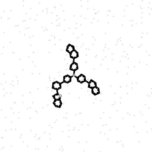 c1cc(-c2ccc(N(c3ccc(-c4ccc5ccccc5c4)cc3)c3ccc(-c4ccc5ccccc5c4)cc3)cc2)cc(-c2cc3ccccc3o2)c1